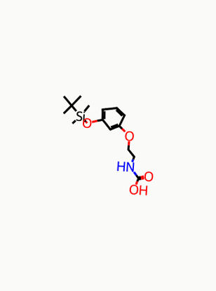 CC(C)(C)[Si](C)(C)Oc1cccc(OCCNC(=O)O)c1